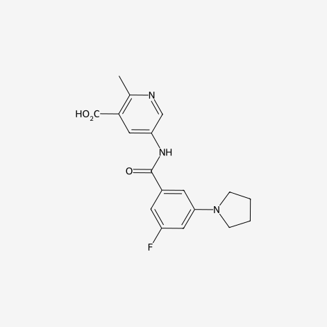 Cc1ncc(NC(=O)c2cc(F)cc(N3CCCC3)c2)cc1C(=O)O